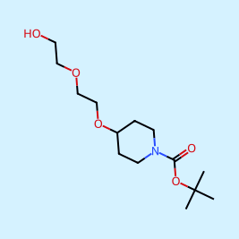 CC(C)(C)OC(=O)N1CCC(OCCOCCO)CC1